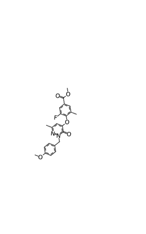 COC(=O)c1cc(C)c(Oc2cc(C)nn(Cc3ccc(OC)cc3)c2=O)c(F)c1